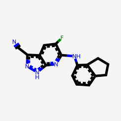 N#Cc1n[nH]c2nc(Nc3cccc4c3CCC4)c(F)cc12